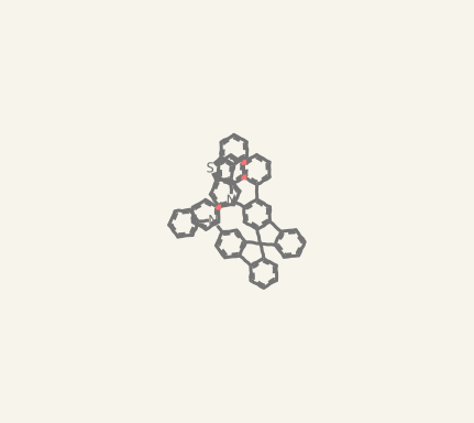 c1ccc(-c2cc3c(cc2N(c2ccccc2)c2ccccc2)C2(c4ccccc4-c4ccc(N(c5ccccc5)c5ccc6c(c5)sc5ccccc56)cc42)c2ccccc2-3)cc1